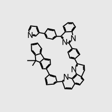 CC1(C)c2ccccc2-c2ccc(-c3cccc(-c4ccc5ccc6ccc(-c7ccc(-c8nc(-c9ccc(-c%10cccnc%10)cc9)c9ccccc9n8)cc7)nc6c5n4)c3)cc21